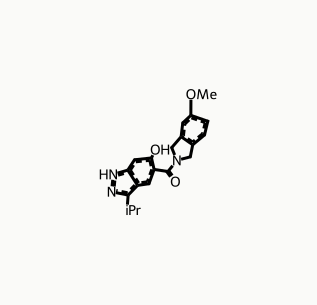 COc1ccc2c(c1)CN(C(=O)c1cc3c(C(C)C)n[nH]c3cc1O)C2